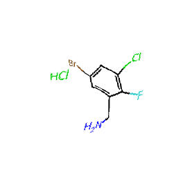 Cl.NCc1cc(Br)cc(Cl)c1F